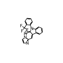 O=C1C(=Cc2ncc[nH]2)c2ccccc2N1c1ccccc1C(F)(F)F